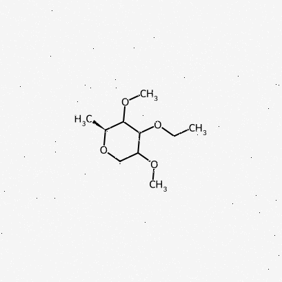 CCOC1C(OC)[CH]O[C@@H](C)C1OC